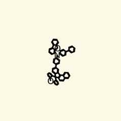 c1ccc(-c2ccc(N(c3ccc(-c4ccc5c(c4)-c4c(ccc6ccccc46)C54c5ccccc5Oc5ccccc54)cc3)c3cccc4c3oc3ccccc34)cc2)cc1